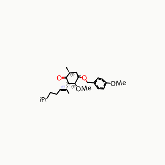 COc1ccc(CO[C@@H]2C[C@H](C)C(=O)[C@@H](/C(C)=C/CCC(C)C)[C@@H]2OC)cc1